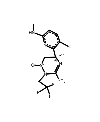 CNc1ccc(F)c([C@]2(C)C[S+]([O-])N(CC(F)(F)F)C(N)=N2)n1